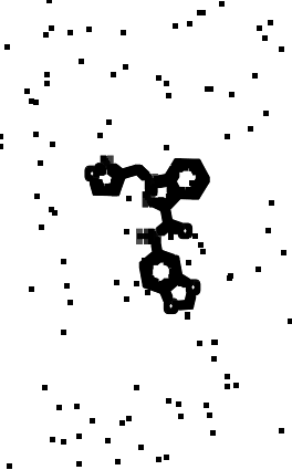 O=C(Nc1ccc2c(c1)OCO2)c1nn(Cc2ccon2)c2ccccc12